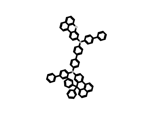 c1ccc(-c2ccc(N(c3ccc(-c4ccc(N(c5ccc(-c6ccccc6)cc5)c5ccc6c(c5)C(c5ccccc5)(c5ccccc5)c5cccc7cccc-6c57)cc4)cc3)c3ccc4c(c3)Oc3cccc5cccc-4c35)cc2)cc1